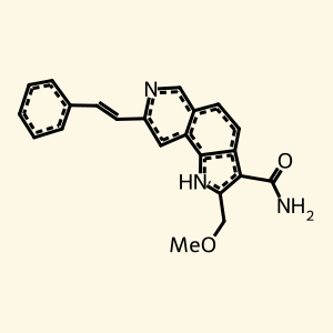 COCc1[nH]c2c(ccc3cnc(C=Cc4ccccc4)cc32)c1C(N)=O